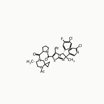 CC(=O)N1C[C@H](C)N(C(=O)C2CCCN2C(=O)C2=C(C(C)C)N3C(=N[C@@](C)(c4ccc(Cl)nc4)[C@H]3c3ccc(Cl)c(F)c3)S2)CC12CC2